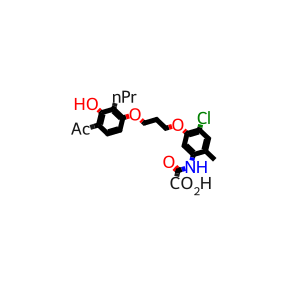 CCCc1c(OCCCOc2cc(NC(=O)C(=O)O)c(C)cc2Cl)ccc(C(C)=O)c1O